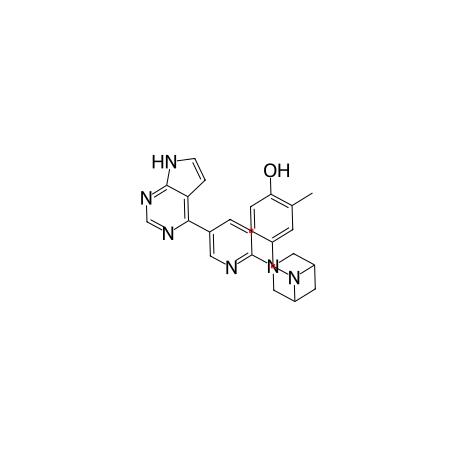 Cc1cc(CN2C3CC2CN(c2ccc(-c4ncnc5[nH]ccc45)cn2)C3)ccc1O